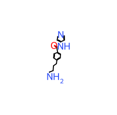 NCCCCc1ccc(C(=O)Nc2ccncc2)cc1